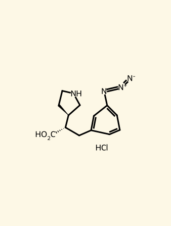 Cl.[N-]=[N+]=Nc1cccc(C[C@H](C(=O)O)[C@H]2CCNC2)c1